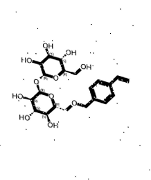 C=Cc1ccc(COC[C@H]2O[C@H](O[C@H]3O[C@H](CO)[C@@H](O)[C@H](O)C3O)[C@H](O)[C@@H](O)[C@@H]2O)cc1